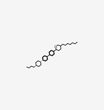 CCCCCCCC1CCC(c2ccc(-c3ccc([C@H]4CC[C@H](CCCC)CC4)cc3)cc2)OC1